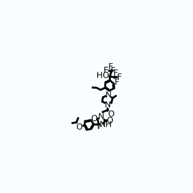 CCCc1cc(C(O)(C(F)(F)F)C(F)(F)F)ccc1N1CCN(C(=O)CN2C(=O)N[C@](C)(c3ccc(OC(C)C)cc3)C2=O)CC1C